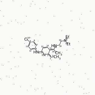 C/C=c1/nc(Nc2ccc(Cl)cc2)cc/c1=C(/C)NCCN(CC)CC